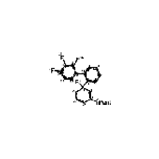 CCCCCC1=CC(F)(c2ccccc2-c2ccc(F)c(F)c2F)CC=C1